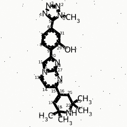 Cn1nnnc1-c1ccc(-c2cn3ccc(C4=CC(C)(C)NC(C)(C)C4)nc3n2)c(O)c1